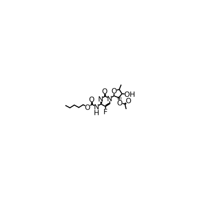 CCCCCOC(=O)Nc1nc(=O)n(C2OC(C)C(O)[C@H]2OC(C)=O)cc1F